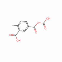 Cc1ccc(C(=O)OC(=O)O)cc1C(=O)O